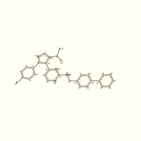 Fc1ccc(-c2ncn(C(F)F)c2-c2ccnc(NCc3ccc(-c4ccccc4)cc3)n2)cc1